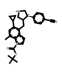 Cc1cc(C2CC2)c(CC2CNC[C@H]2c2ccc(C#N)cc2)c2ccn(C(=O)OC(C)(C)C)c12